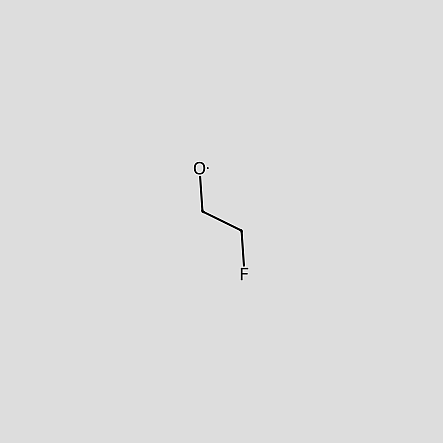 [O]CCF